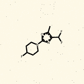 Cc1oc(N2CCC(F)CC2)nc1C(F)F